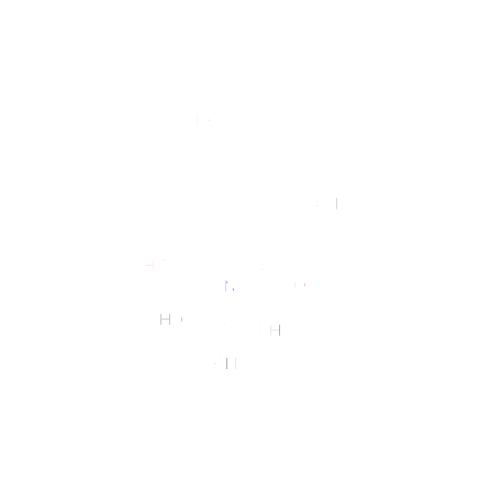 Cc1cc(C)c2c(c1)C(O)N(C(C)(C)C)C2=O